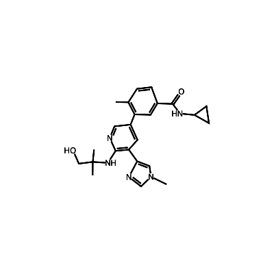 Cc1ccc(C(=O)NC2CC2)cc1-c1cnc(NC(C)(C)CO)c(-c2cn(C)cn2)c1